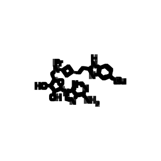 CC(C)N(C[C@H]1O[C@@H](n2cnc3c(N)ncnc32)C(O)C1O)[C@H]1C[C@@H](CCc2nc3cc(C(C)(C)C)ccc3[nH]2)C1